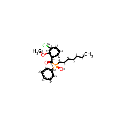 CCCCCCCP(=O)(C(=O)c1cccc(Cl)c1OC)c1ccccc1